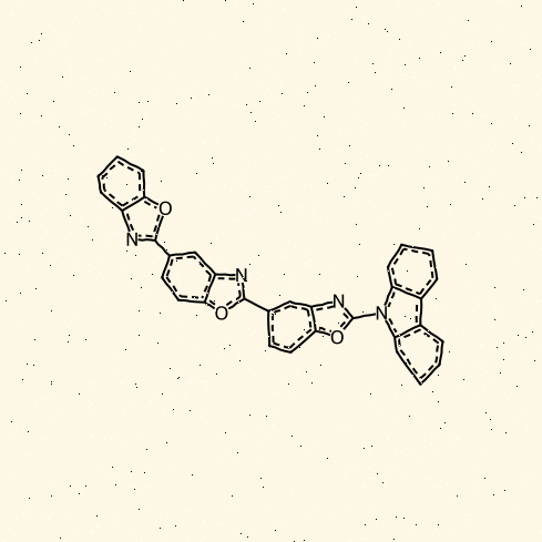 c1ccc2oc(-c3ccc4oc(-c5ccc6oc(-n7c8ccccc8c8ccccc87)nc6c5)nc4c3)nc2c1